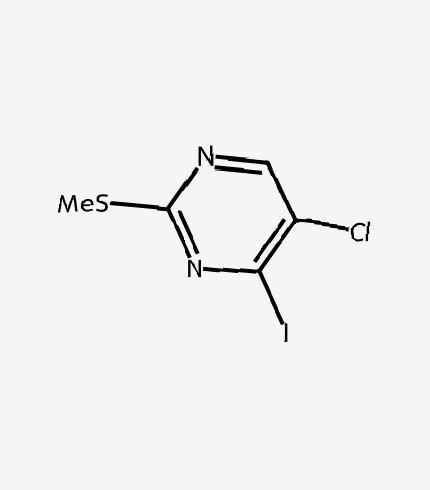 CSc1ncc(Cl)c(I)n1